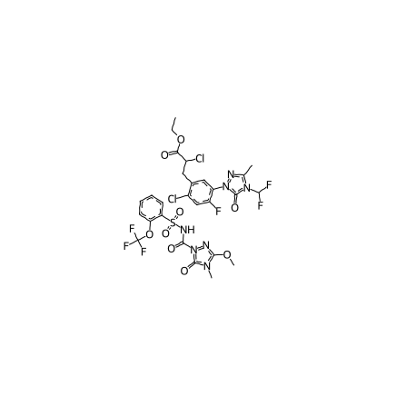 CCOC(=O)C(Cl)Cc1cc(-n2nc(C)n(C(F)F)c2=O)c(F)cc1Cl.COc1nn(C(=O)NS(=O)(=O)c2ccccc2OC(F)(F)F)c(=O)n1C